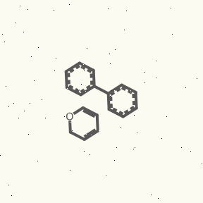 C1=CCOC=C1.c1ccc(-c2ccccc2)cc1